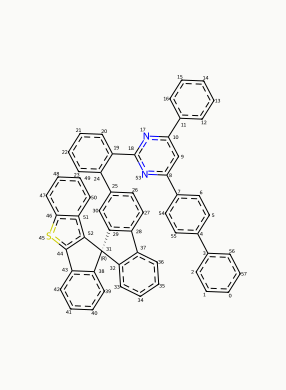 c1ccc(-c2ccc(-c3cc(-c4ccccc4)nc(-c4ccccc4-c4ccc5c(c4)[C@]4(c6ccccc6-5)c5ccccc5-c5sc6ccccc6c54)n3)cc2)cc1